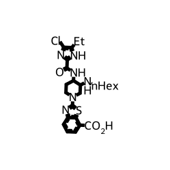 CCCCCCNC1CN(c2nc3cccc(C(=O)O)c3s2)CCC1NC(=O)c1nc(Cl)c(CC)[nH]1